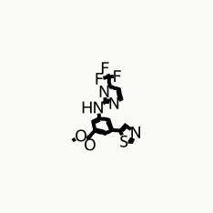 COC(=O)c1cc(Nc2nccc(C(F)(F)F)n2)cc(-c2cncs2)c1